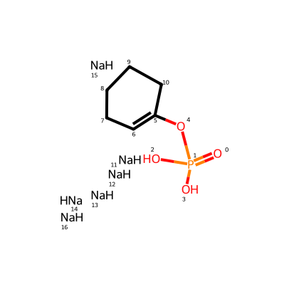 O=P(O)(O)OC1=CCCCC1.[NaH].[NaH].[NaH].[NaH].[NaH].[NaH]